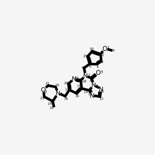 COc1ccc(Cn2c(=O)n3ncnc3c3cc(CN4CCOCC4C)cnc32)cc1